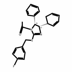 CC(=O)N1C(SCc2ccc(F)cc2)=N[C@@H](C2C=CC=CC2)[C@H]1c1ccccc1